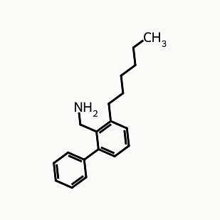 CCCCCCc1cccc(-c2ccccc2)c1CN